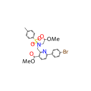 COC(=O)CN(Cc1nc(-c2ccc(Br)cc2)ccc1C(=O)OC)S(=O)(=O)c1ccc(C)cc1